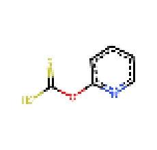 S=C(S)Oc1ccccn1